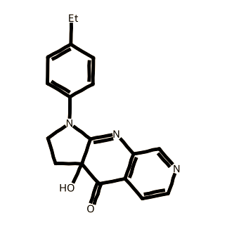 CCc1ccc(N2CCC3(O)C(=O)c4ccncc4N=C23)cc1